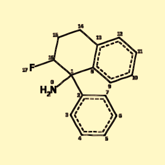 NC1(c2ccccc2)c2ccccc2CCC1F